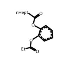 CCCCCCCC(=O)Oc1ccccc1OC(=O)CC